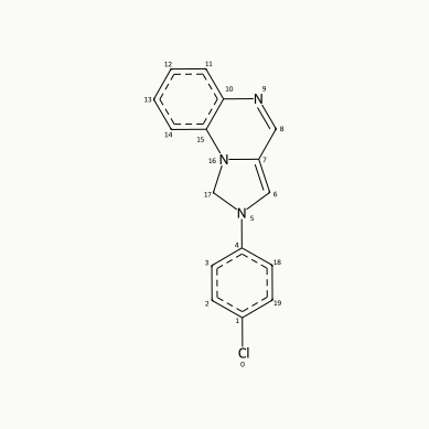 Clc1ccc(N2C=C3C=Nc4ccccc4N3C2)cc1